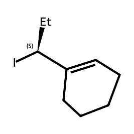 CC[C@H](I)C1=CCCCC1